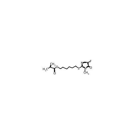 C=C(C)C(=O)OCCCCCCSc1ncc(F)c(=O)n1C